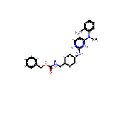 Cc1ccccc1N(C)c1ccnc(NC2CCC(CNC(=O)OCc3ccccc3)CC2)n1